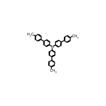 Cc1ccc(-c2ccc(N(c3ccc(-c4ccc(C)cc4)cc3)c3ccc(-c4ccc(C)cc4)cc3)cc2)cc1